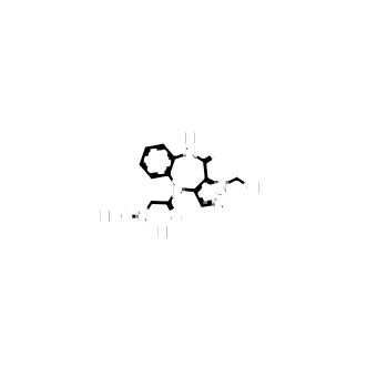 CCn1ncc2c1C(=O)Nc1ccccc1N2C(=O)CN(C)C